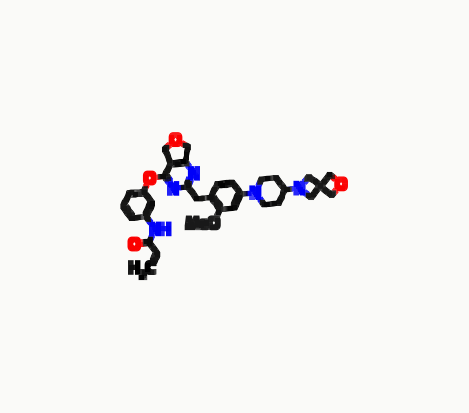 C=CC(=O)Nc1cccc(Oc2nc(Cc3ccc(N4CCC(N5CC6(COC6)C5)CC4)cc3OC)nc3c2COC3)c1